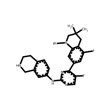 CC(C)N1CC(C)(C)Cc2c(F)cc(-c3nc(Nc4ccc5c(c4)CNCC5)ncc3F)cc21